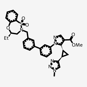 CC[C@@H]1CN(Cc2cccc(-c3cccc(-n4ncc(C(=O)OC)c4[C@@H]4C[C@H]4c4cn(C)nn4)c3)c2)S(=O)(=O)c2ccccc2O1